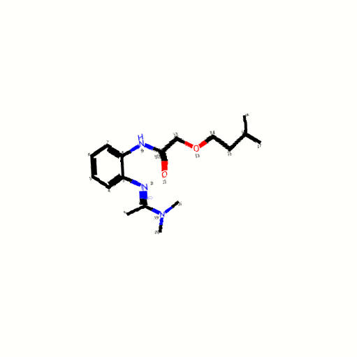 C/C(=N\c1ccccc1NC(=O)COCCC(C)C)N(C)C